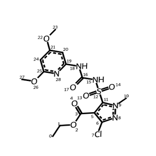 CCOC(=O)c1c(Cl)nn(C)c1S(=O)(=O)NC(=O)Nc1cc(OC)cc(OC)n1